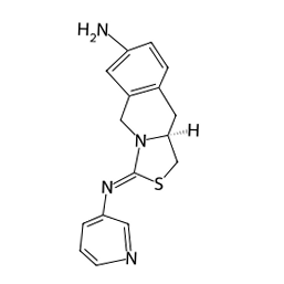 Nc1ccc2c(c1)CN1C(=Nc3cccnc3)SC[C@@H]1C2